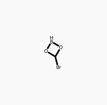 BrC1OBO1